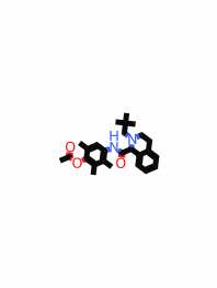 CC(=O)Oc1c(C)cc(NC(=O)C2c3ccccc3CCN2CC(C)(C)C)c(C)c1C